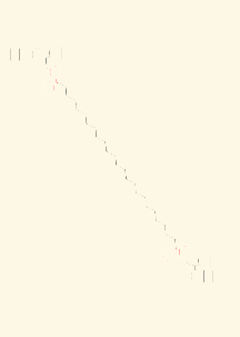 CC(C)COC(=O)CCCCCCCCCCCCCCCCCCCCCCCC(=O)OCC(C)C